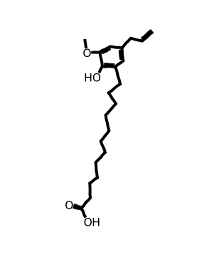 C=CCc1cc(CCCCCCCCCCCC(=O)O)c(O)c(OC)c1